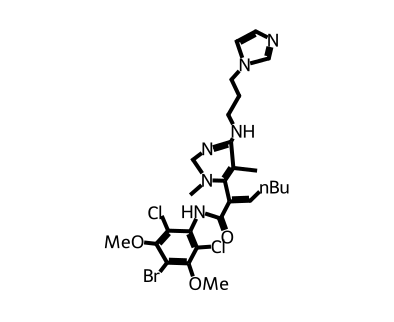 CCCC/C=C(/C(=O)Nc1c(Cl)c(OC)c(Br)c(OC)c1Cl)C1=C(C)C(NCCCn2ccnc2)=NCN1C